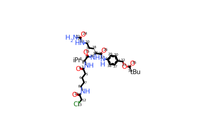 CC(C)[C@@H](NC(=O)CCCCNC(=O)CCl)C(=O)N[C@H](CCCNC(N)=O)C(=O)Nc1ccc(COC(=O)C(C)(C)C)cc1